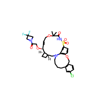 CC1(C)OC/C=C/[C@H](OCC(=O)N2CC(F)(F)C2)[C@@H]2CC[C@H]2CN2CCCCc3cc(Cl)ccc3COc3ccc(cc32)S(=O)(=O)NC1=O